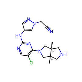 C[C@@]12CNC[C@]1(C)CN(c1nc(Nc3cnn(CC#N)c3)ncc1Cl)C2